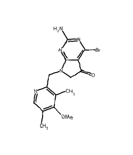 COc1c(C)cnc(CN2CC(=O)c3c(Br)nc(N)nc32)c1C